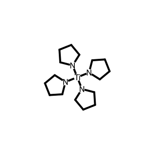 C1CC[N]([Ti]([N]2CCCC2)([N]2CCCC2)[N]2CCCC2)C1